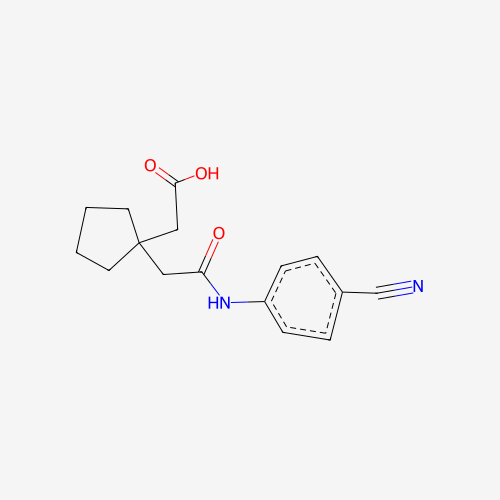 N#Cc1ccc(NC(=O)CC2(CC(=O)O)CCCC2)cc1